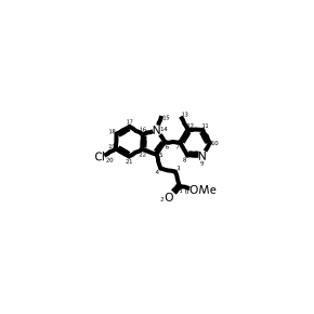 COC(=O)CCc1c(-c2cnccc2C)n(C)c2ccc(Cl)cc12